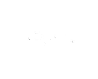 Nc1ccc(CC(=O)NCC(O)CO)c(N)c1